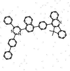 CC1(C)c2ccccc2-c2nc3ccccc3c(-c3ccc(-c4ccc(-c5cc(-c6ccccc6)nc(-c6ccc(-c7ccccc7)cc6)n5)c5ccccc45)cc3)c21